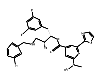 CCCN(C)c1cc(C(=O)N[C@@H](Cc2cc(F)cc(F)c2)[C@H](O)CNCc2cccc(CC)c2)cc(-c2ncco2)n1